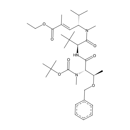 CCOC(=O)/C(C)=C/[C@H](C(C)C)N(C)C(=O)[C@@H](NC(=O)[C@H]([C@@H](C)OCc1ccccc1)N(C)C(=O)OC(C)(C)C)C(C)(C)C